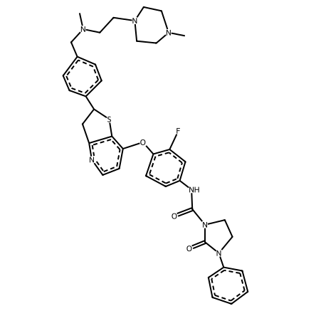 CN1CCN(CCN(C)Cc2ccc(C3Cc4nccc(Oc5ccc(NC(=O)N6CCN(c7ccccc7)C6=O)cc5F)c4S3)cc2)CC1